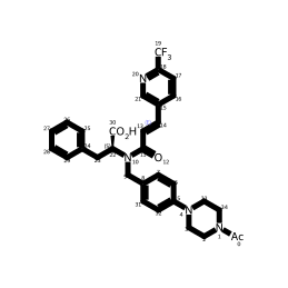 CC(=O)N1CCN(c2ccc(CN(C(=O)/C=C/c3ccc(C(F)(F)F)nc3)[C@@H](Cc3ccccc3)C(=O)O)cc2)CC1